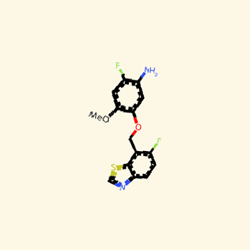 COc1cc(F)c(N)cc1OCc1c(F)ccc2ncsc12